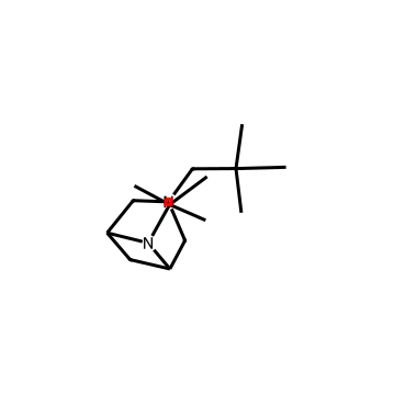 CC(C)(C)CN1CC2CC(C1)N2C(C)(C)C